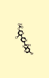 O=C(O)Oc1cnc(-c2ccc(-c3nc4ncc(Br)cc4[nH]3)nc2)c(Cl)c1